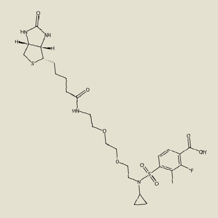 Cc1c(S(=O)(=O)N(CCOCCOCCNC(=O)CCCC[C@@H]2SC[C@@H]3NC(=O)N[C@@H]32)C2CC2)ccc(C(=O)O)c1F